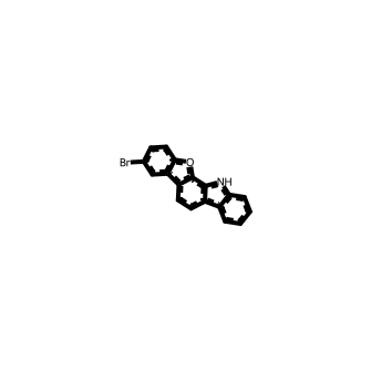 Brc1ccc2oc3c(ccc4c5ccccc5[nH]c43)c2c1